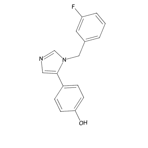 Oc1ccc(-c2cncn2Cc2cccc(F)c2)cc1